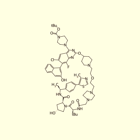 Cc1ncsc1-c1ccc([C@H](C)NC(=O)[C@@H]2C[C@@H](O)CN2C(=O)[C@@H](NC(=O)CN2CCN(CCOCCN3CCC(Oc4nc(N5CCN(C(=O)OC(C)(C)C)CC5)c5cc(Cl)c(-c6cc(O)cc7ccccc67)c(F)c5n4)CC3)CC2)C(C)(C)C)cc1